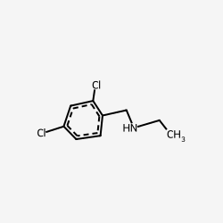 CCNCc1ccc(Cl)cc1Cl